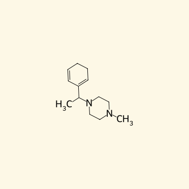 CC(C1=CCCC=C1)N1CCN(C)CC1